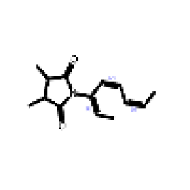 C\C=C/C=C\C(=C/C)N1C(=O)C(C)C(C)C1=O